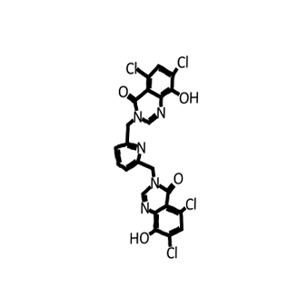 O=c1c2c(Cl)cc(Cl)c(O)c2ncn1Cc1cccc(Cn2cnc3c(O)c(Cl)cc(Cl)c3c2=O)n1